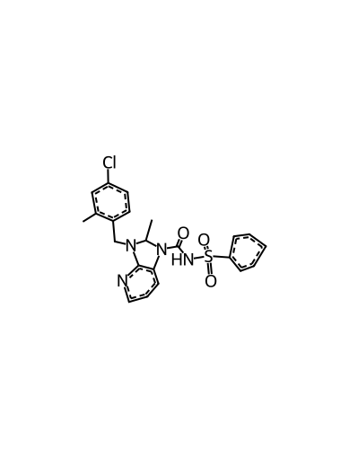 Cc1cc(Cl)ccc1CN1c2ncccc2N(C(=O)NS(=O)(=O)c2ccccc2)C1C